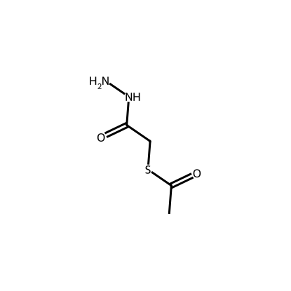 CC(=O)SCC(=O)NN